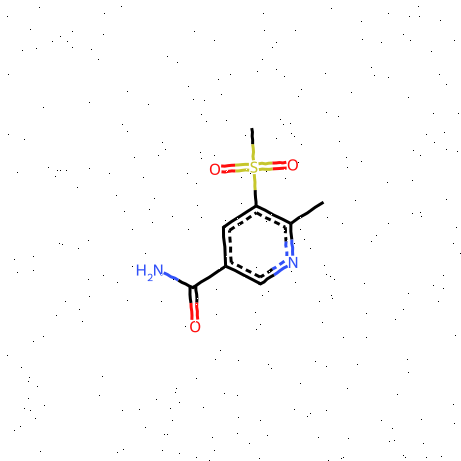 Cc1ncc(C(N)=O)cc1S(C)(=O)=O